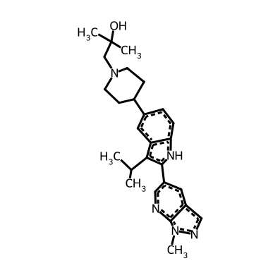 CC(C)c1c(-c2cnc3c(cnn3C)c2)[nH]c2ccc(C3CCN(CC(C)(C)O)CC3)cc12